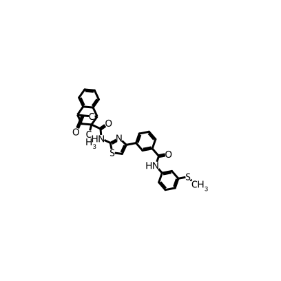 CSc1cccc(NC(=O)c2cccc(-c3csc(NC(=O)C4(C)CC5C(=O)CC4c4ccccc45)n3)c2)c1